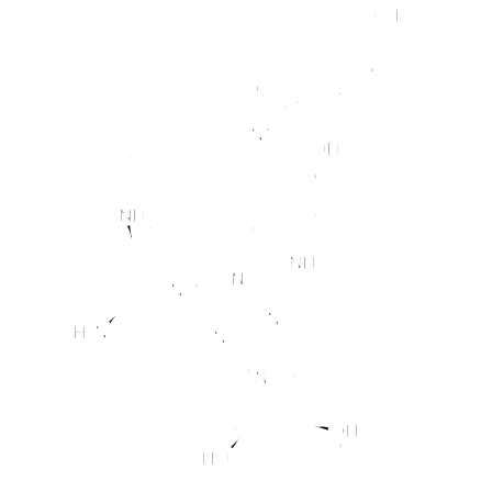 Cc1ccc(S(=O)(=O)N(Cc2ccccc2)c2ccc(Nc3nc(N4C[C@H](N)C[C@H](N)C4)nc(N4C[C@H](O)C[C@H](O)C4)n3)cc2O)cc1